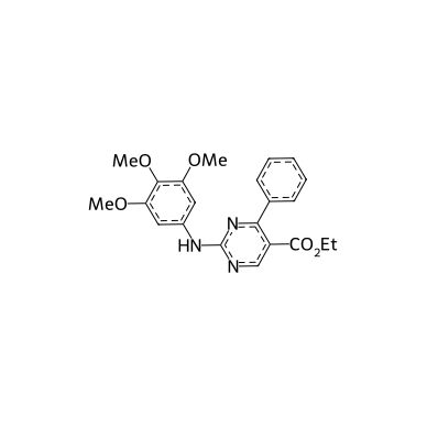 CCOC(=O)c1cnc(Nc2cc(OC)c(OC)c(OC)c2)nc1-c1ccccc1